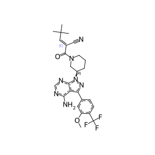 COc1cc(-c2nn([C@@H]3CCCN(C(=O)/C(C#N)=C/C(C)(C)C)C3)c3ncnc(N)c23)ccc1C(F)(F)F